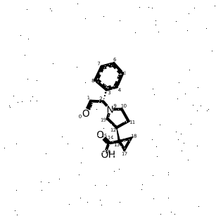 O=C[C@H](c1ccccc1)N1CC[C@@H](C2(C(=O)O)CC2)C1